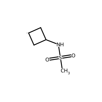 CS(=O)(=O)NC1C[CH]C1